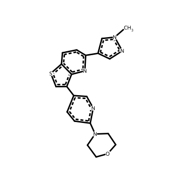 Cn1cc(-c2ccc3scc(-c4ccc(N5CCOCC5)nc4)c3n2)cn1